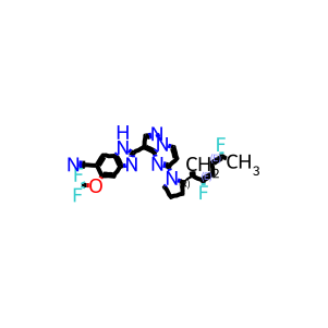 C=C(/C(F)=C\C=C(/C)F)[C@H]1CCCN1c1ccn2ncc(-c3nc4cc(OC(F)F)c(C#N)cc4[nH]3)c2n1